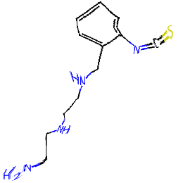 NCCNCCNCc1ccccc1N=C=S